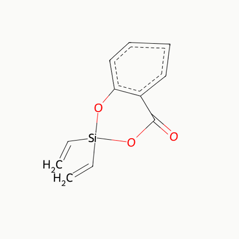 C=C[Si]1(C=C)OC(=O)c2ccccc2O1